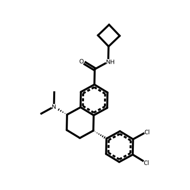 CN(C)[C@H]1CC[C@@H](c2ccc(Cl)c(Cl)c2)c2ccc(C(=O)NC3CCC3)cc21